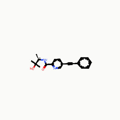 C[C@@H](NC(=O)c1ccc(C#Cc2ccccc2)cn1)C(C)(C)O